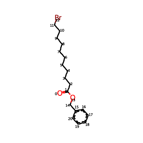 O=C(CCCCCCCCCCBr)OCc1ccccc1